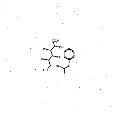 CC(O)Oc1ccccc1.O=C(O)C(O)C(O)C(O)C(O)CO